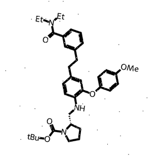 CCN(CC)C(=O)c1cccc(CCc2ccc(NC[C@@H]3CCCN3C(=O)OC(C)(C)C)c(Oc3ccc(OC)cc3)c2)c1